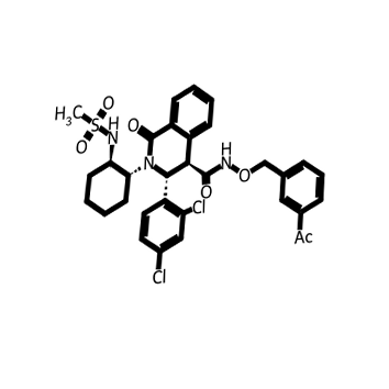 CC(=O)c1cccc(CONC(=O)[C@@H]2c3ccccc3C(=O)N([C@@H]3CCCC[C@H]3NS(C)(=O)=O)[C@H]2c2ccc(Cl)cc2Cl)c1